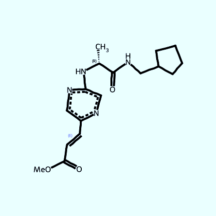 COC(=O)/C=C/c1cnc(N[C@H](C)C(=O)NCC2CCCC2)cn1